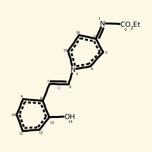 CCOC(=O)N=c1ccn(/C=C/c2ccccc2O)cc1